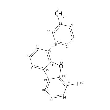 Cc1cccc(-c2cccc3c2oc2c(I)cccc23)c1